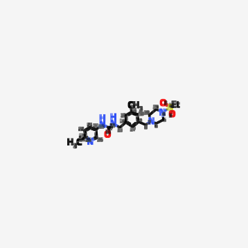 CCS(=O)(=O)N1CCN(Cc2cc(C)cc(CNC(=O)Nc3ccc(C)nc3)c2)CC1